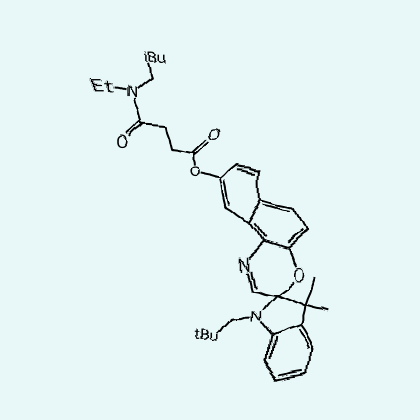 CCC(C)CN(CC)C(=O)CCC(=O)Oc1ccc2ccc3c(c2c1)N=CC1(O3)N(CC(C)(C)C)c2ccccc2C1(C)C